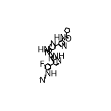 CN(C)CCNc1cc(F)cc(-c2ccnc3[nH]c(-c4n[nH]c5cnc(-c6cncc(NC(=O)C7CCCC7)c6)cc45)nc23)c1